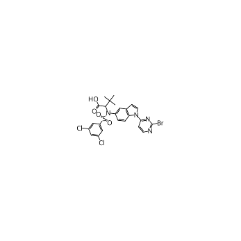 CC(C)(C)C(C(=O)O)N(c1ccc2c(ccn2-c2ccnc(Br)n2)c1)S(=O)(=O)c1cc(Cl)cc(Cl)c1